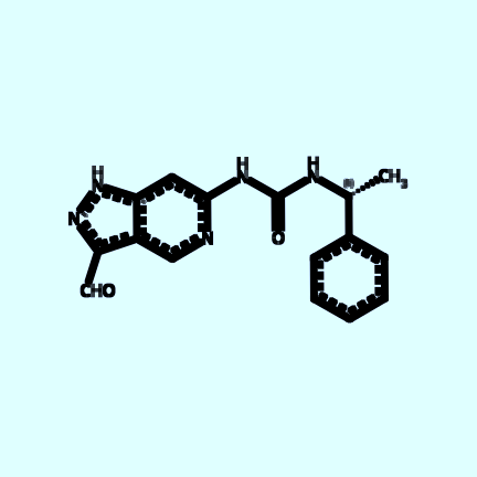 C[C@@H](NC(=O)Nc1cc2[nH]nc(C=O)c2cn1)c1ccccc1